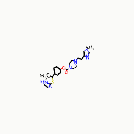 CC(Sc1ncc[nH]1)c1ccc(OC(=O)N2CCN(CCc3cn(C)cn3)CC2)cc1